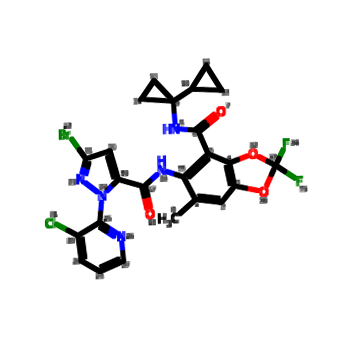 Cc1cc2c(c(C(=O)NC3(C4CC4)CC3)c1NC(=O)c1cc(Br)nn1-c1ncccc1Cl)OC(F)(F)O2